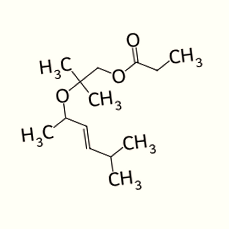 CCC(=O)OCC(C)(C)OC(C)C=CC(C)C